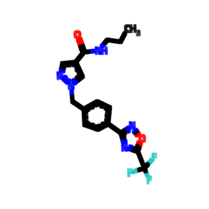 CCCNC(=O)c1cnn(Cc2ccc(-c3noc(C(F)(F)F)n3)cc2)c1